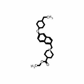 CCOC(=O)C1CCN(Cc2ccc3cc(OC4CCC(CC)CC4)ccc3c2)CC1